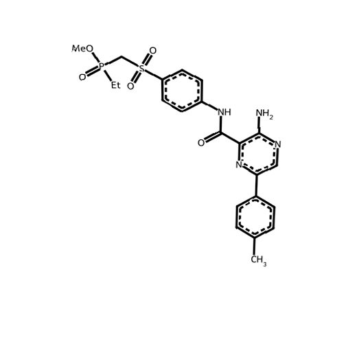 CCP(=O)(CS(=O)(=O)c1ccc(NC(=O)c2nc(-c3ccc(C)cc3)cnc2N)cc1)OC